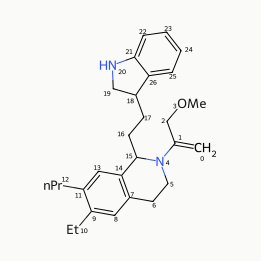 C=C(COC)N1CCc2cc(CC)c(CCC)cc2C1CCC1CNc2ccccc21